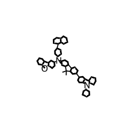 CC1(C)c2cc(-c3ccc4c(c3)c3ccccc3n4-c3ccccc3)ccc2-c2ccc(N(c3ccc(-c4cccc5ccccc45)cc3)c3ccc4oc5ccccc5c4c3)cc21